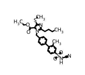 CCCCc1nc(SC)c(C(=O)OCC)n1Cc1ccc(-c2ccc(S(=O)(=O)NC#N)cc2C)cc1